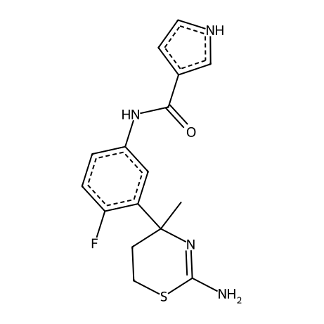 CC1(c2cc(NC(=O)c3cc[nH]c3)ccc2F)CCSC(N)=N1